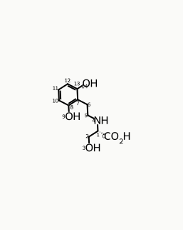 O=C(O)[C@H](CO)NCCc1c(O)cccc1O